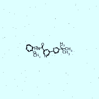 COc1ccccc1CNC(=O)c1cncc(-c2ccc(C(C)(C)C)cc2)c1